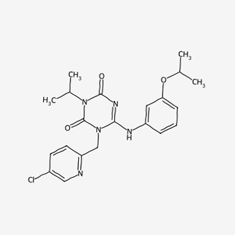 CC(C)Oc1cccc(Nc2nc(=O)n(C(C)C)c(=O)n2Cc2ccc(Cl)cn2)c1